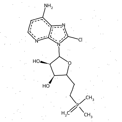 C=P(C)(C)CCC1OC(n2c(Cl)nc3c(N)ccnc32)[C@H](O)[C@@H]1O